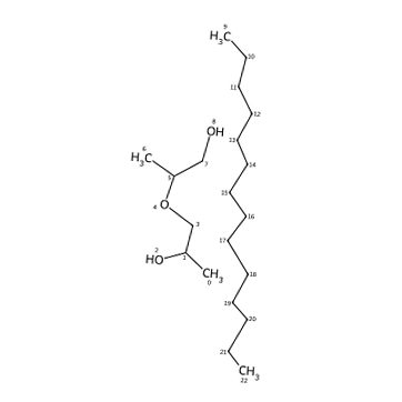 CC(O)COC(C)CO.CCCCCCCCCCCCCC